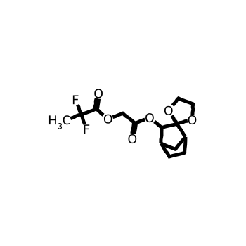 CC(F)(F)C(=O)OCC(=O)OC1C2CCC(C2)C12OCCO2